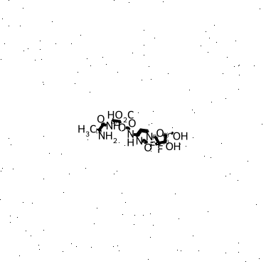 C[C@H](N)C(=O)N[C@@H](COC(=O)Nc1ccn([C@@H]2O[C@H](CO)[C@@H](O)C2(F)F)c(=O)n1)C(=O)O